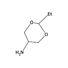 CCC1OCC(N)CO1